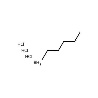 B.CCCCCC.Cl.Cl.Cl